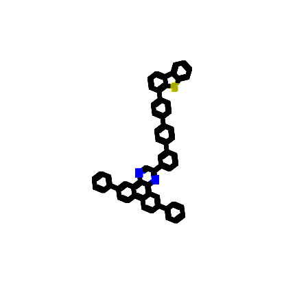 c1ccc(-c2ccc3c4ccc(-c5ccccc5)cc4c4nc(-c5cccc(-c6ccc(-c7ccc(-c8cccc9c8sc8ccccc89)cc7)cc6)c5)cnc4c3c2)cc1